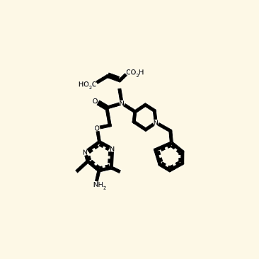 Cc1nc(OCC(=O)N(C)C2CCN(Cc3ccccc3)CC2)nc(C)c1N.O=C(O)C=CC(=O)O